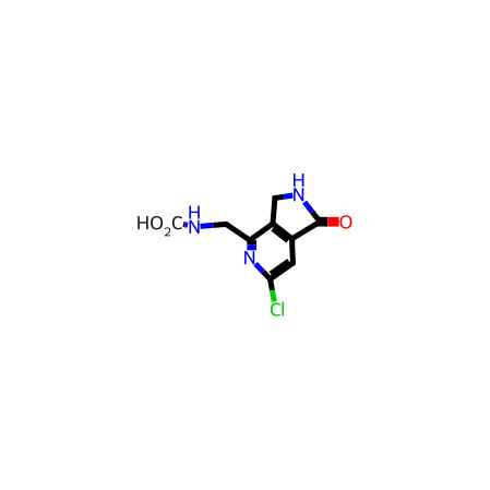 O=C(O)NCc1nc(Cl)cc2c1CNC2=O